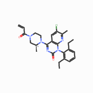 C=CC(=O)N1CCN(c2nc(=O)n(-c3c(CC)cccc3CC)c3nc(C)c(Cl)cc23)[C@@H](C)C1